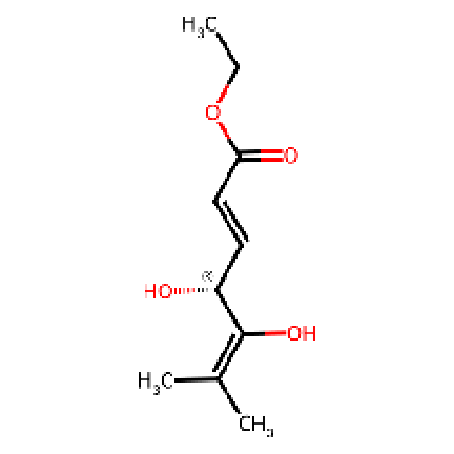 CCOC(=O)C=C[C@@H](O)C(O)=C(C)C